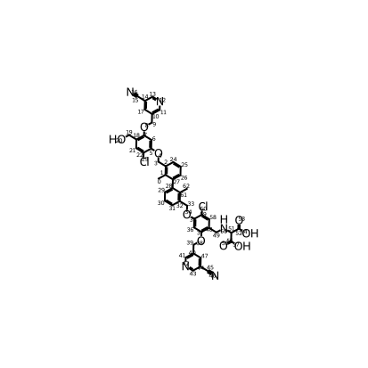 Cc1c(COc2cc(OCc3cncc(C#N)c3)c(CO)cc2Cl)cccc1-c1cccc(COc2cc(OCc3cncc(C#N)c3)c(CNC(C(=O)O)C(=O)O)cc2Cl)c1C